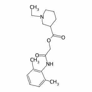 CCN1CCCC(C(=O)OCC(=O)Nc2c(C)cccc2C)C1